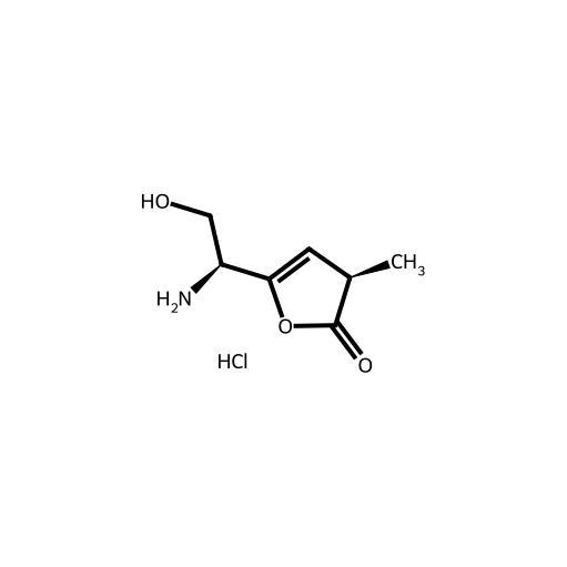 C[C@@H]1C=C([C@@H](N)CO)OC1=O.Cl